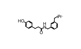 C[C](C)Cc1cccc(CNC(=O)CCc2ccc(O)cc2)c1